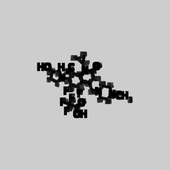 Cc1c(N2CC[C@H](O)C2)c(F)c(F)c2c(CN3CCN(C)CC3)cc(=O)n(C3CC3)c12.O=C(O)C(F)(F)F